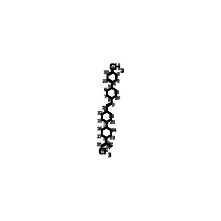 Cc1ccc(C2CCC(/C=C/C3CCC(C4CCC(/C(F)=C/C(F)(F)F)CC4)CC3)CC2)cc1